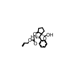 C=CCOC(=O)N[C@@H](c1ccccc1)[C@]1(C(=O)O)CCCC1=O